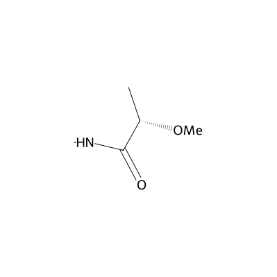 CO[C@@H](C)C([NH])=O